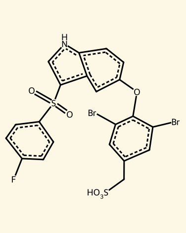 O=S(=O)(O)Cc1cc(Br)c(Oc2ccc3[nH]cc(S(=O)(=O)c4ccc(F)cc4)c3c2)c(Br)c1